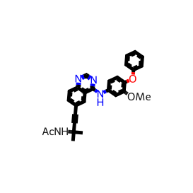 COc1cc(Nc2ncnc3ccc(C#CC(C)(C)NC(C)=O)cc23)ccc1Oc1ccccc1